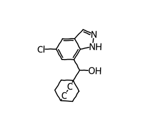 OC(c1cc(Cl)cc2cn[nH]c12)C12CCC(CC1)CC2